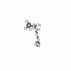 N#Cc1nc(-c2cc(Cl)cc(Cl)c2Cl)oc1NCCOCCOc1cncnc1